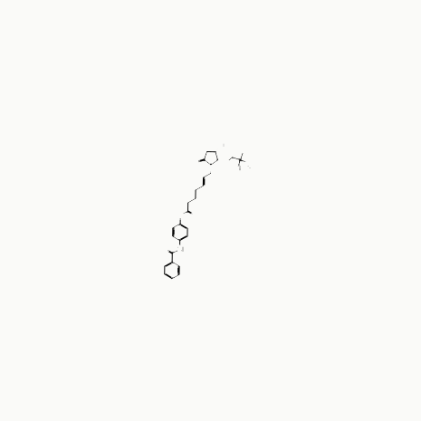 CCCCCC(C)(O)CS[C@H]1[C@H](O)CC(=O)[C@@H]1CC=CCCCC(=O)Oc1ccc(NC(=O)c2ccccc2)cc1